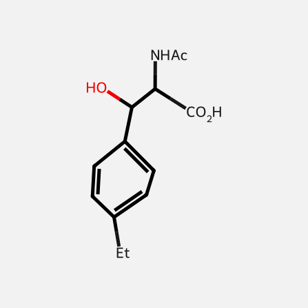 CCc1ccc(C(O)C(NC(C)=O)C(=O)O)cc1